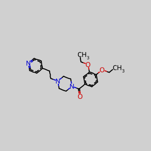 CCOc1ccc(C(=O)N2CCN(CCc3ccncc3)CC2)cc1OCC